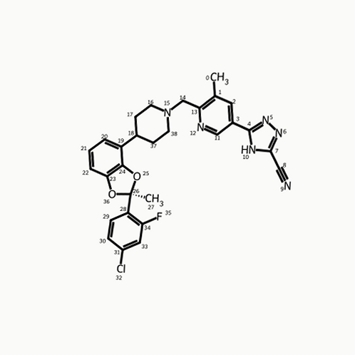 Cc1cc(-c2nnc(C#N)[nH]2)cnc1CN1CCC(c2cccc3c2O[C@@](C)(c2ccc(Cl)cc2F)O3)CC1